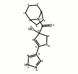 O=C(N1C2CCCC1CC2)C1(O)C=C(c2cn[nH]c2)SC1